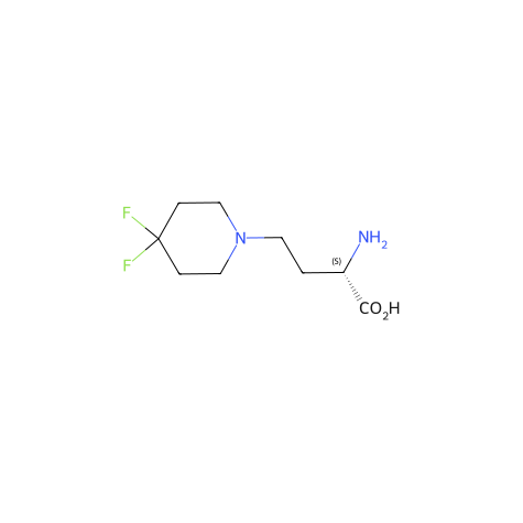 N[C@@H](CCN1CCC(F)(F)CC1)C(=O)O